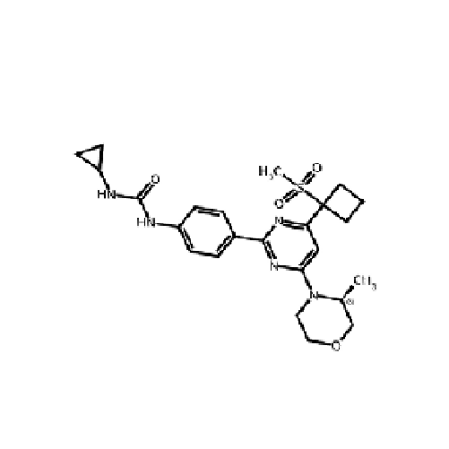 C[C@H]1COCCN1c1cc(C2(S(C)(=O)=O)CCC2)nc(-c2ccc(NC(=O)NC3CC3)cc2)n1